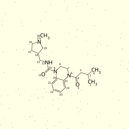 CC(C)CC(=O)N1CCN(C(=O)NCC2CCN(C)C2)c2ccccc21